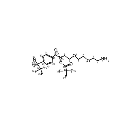 NCCOCCOCCN(OC(=O)C(F)(F)F)C(=O)c1ccc(C2(C(F)(F)F)N=N2)cc1